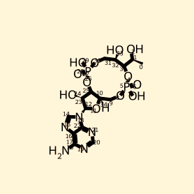 C[C@H](O)C1OP(=O)(O)OC[C@H]2O[C@@H](n3cnc4c(N)ncnc43)[C@H](O)C2OP(=O)(O)OC[C@H]1O